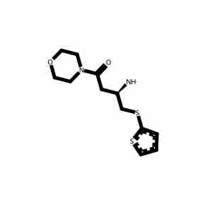 [NH][C@@H](CSc1cccs1)CC(=O)N1CCOCC1